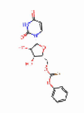 O=c1ccn([C@@H]2O[C@H](COC(=S)Oc3ccccc3)[C@@H](O)[C@H]2O)c(=O)[nH]1